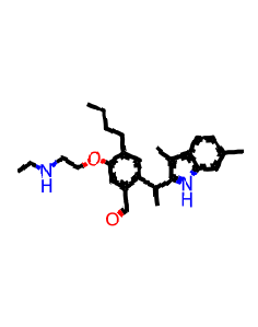 CCCCc1cc(C(C)c2[nH]c3cc(C)ccc3c2C)c(C=O)cc1OCCNCC